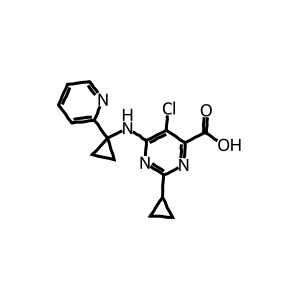 O=C(O)c1nc(C2CC2)nc(NC2(c3ccccn3)CC2)c1Cl